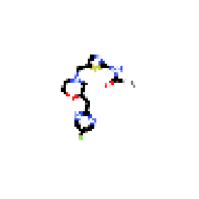 CC(=O)Nc1ncc(CN2CCOC(Cc3ncc(F)cn3)C2)s1